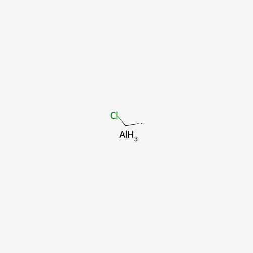 [AlH3].[CH2]CCl